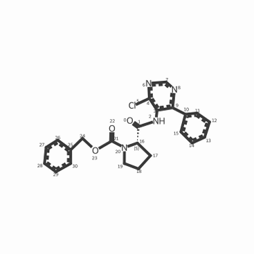 O=C(Nc1c(Cl)ncnc1-c1ccccc1)[C@@H]1CCCN1C(=O)OCc1ccccc1